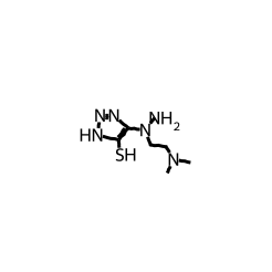 CN(C)CCN(N)c1nn[nH]c1S